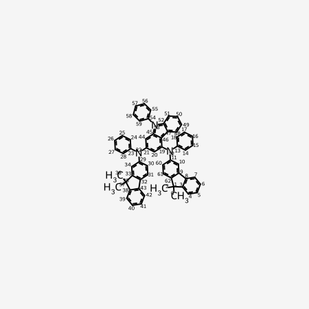 CC1(C)c2ccccc2-c2cc(N(c3ccccc3)c3cc(N(c4ccccc4)c4ccc5c(c4)C(C)(C)c4ccccc4-5)cc4c3c3ccccc3n4-c3ccccc3)ccc21